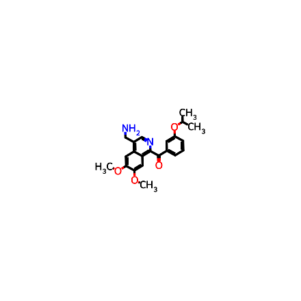 COc1cc2c(CN)cnc(C(=O)c3cccc(OC(C)C)c3)c2cc1OC